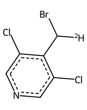 [2H]C(Br)c1c(Cl)cncc1Cl